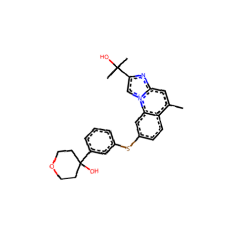 Cc1cc2nc(C(C)(C)O)cn2c2cc(Sc3cccc(C4(O)CCOCC4)c3)ccc12